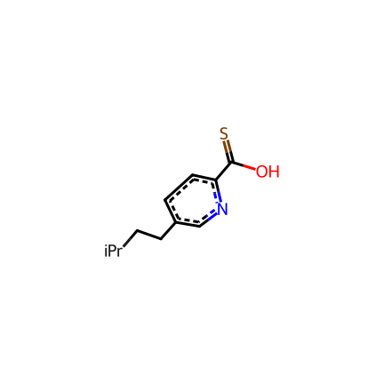 CC(C)CCc1ccc(C(O)=S)nc1